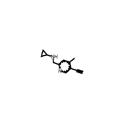 C#Cc1cnc(CNC2CC2)cc1C